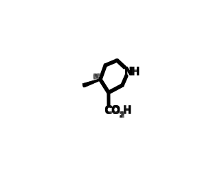 C[C@H]1CCNCC1C(=O)O